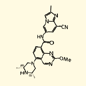 COc1ncc2c(N3C[C@@H](C)N[C@@H](C)C3)ccc(C(=O)Nc3cc(C#N)c4nc(C)cn4c3)c2n1